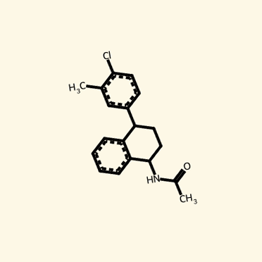 CC(=O)NC1CCC(c2ccc(Cl)c(C)c2)c2ccccc21